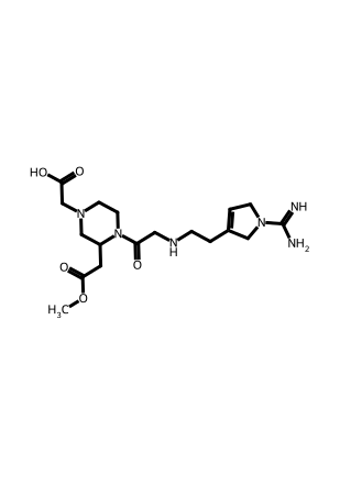 COC(=O)CC1CN(CC(=O)O)CCN1C(=O)CNCCC1=CCN(C(=N)N)C1